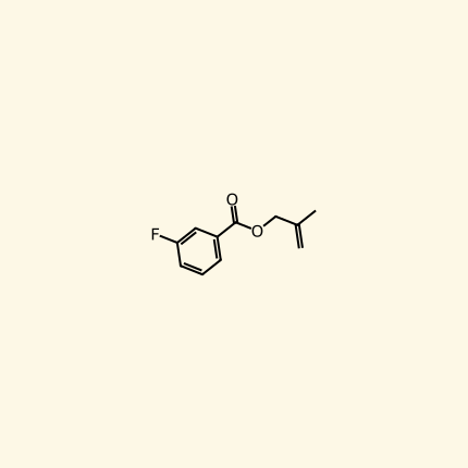 C=C(C)COC(=O)c1cccc(F)c1